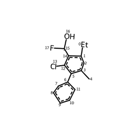 CCc1cc(C)c(-c2ccccc2)c(Cl)c1[C](O)F